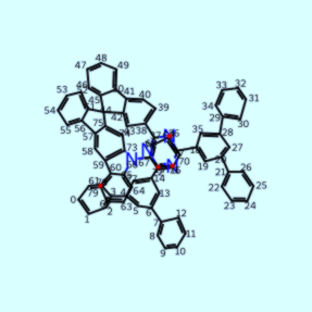 c1ccc(-c2cc(-c3ccccc3)cc(-c3nc(-c4cc(-c5ccccc5)cc(-c5ccccc5)c4)nc(-c4ccc5c(c4)C4(c6ccccc6-5)c5ccccc5-c5cc6c7ccccc7n(-c7ccccc7)c6cc54)n3)c2)cc1